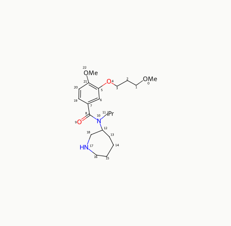 COCCCOc1cc(C(=O)N(C(C)C)C2CCCCNC2)ccc1OC